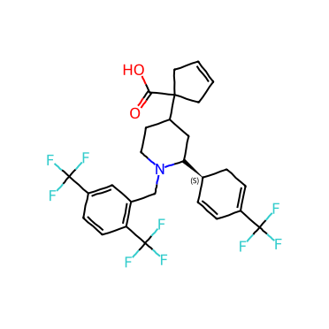 O=C(O)C1(C2CCN(Cc3cc(C(F)(F)F)ccc3C(F)(F)F)C([C@@H]3C=CC(C(F)(F)F)=CC3)C2)CC=CC1